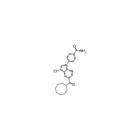 NC(=O)c1ccc(-n2cc(Cl)c3cc(C(=O)C4CCCCCCC4)cnc32)cc1